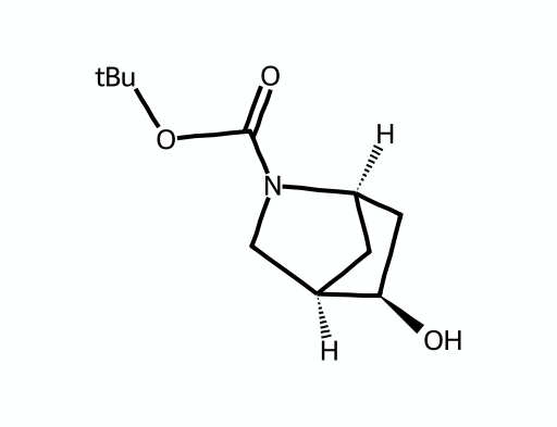 CC(C)(C)OC(=O)N1C[C@H]2C[C@@H]1C[C@H]2O